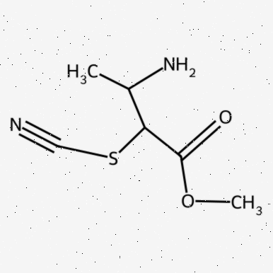 COC(=O)C(SC#N)C(C)N